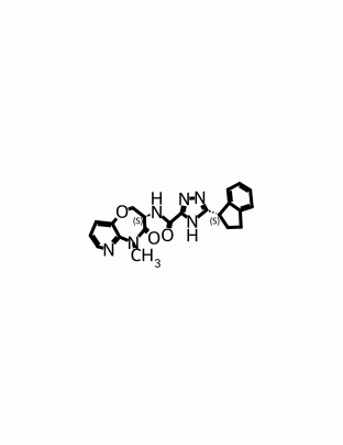 CN1C(=O)[C@@H](NC(=O)c2nnc([C@H]3CCc4ccccc43)[nH]2)COc2cccnc21